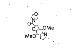 COc1c2cc(C(=O)N3CCOCC3)oc2c(OC)c2cccnc12